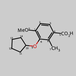 COc1ccc(C(=O)O)c(C)c1OC1CCCC1